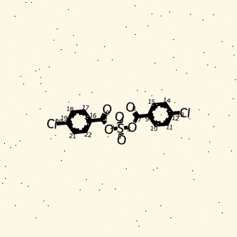 O=C(OS(=O)(=O)OC(=O)c1ccc(Cl)cc1)c1ccc(Cl)cc1